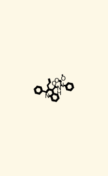 C=CCc1c(-c2ccccc2)nc2ccccc2c1C(=O)NN(C(=O)OC)c1ccccc1